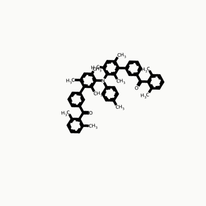 Cc1ccc(N(c2c(C)cc(C)c(-c3cccc(C(=O)c4c(C)cccc4C)c3)c2C)c2c(C)cc(C)c(-c3cccc(C(=O)c4c(C)cccc4C)c3)c2C)cc1